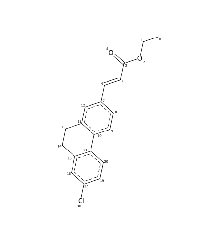 CCOC(=O)C=Cc1ccc2c(c1)CCc1cc(Cl)ccc1-2